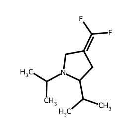 CC(C)C1CC(=C(F)F)CN1C(C)C